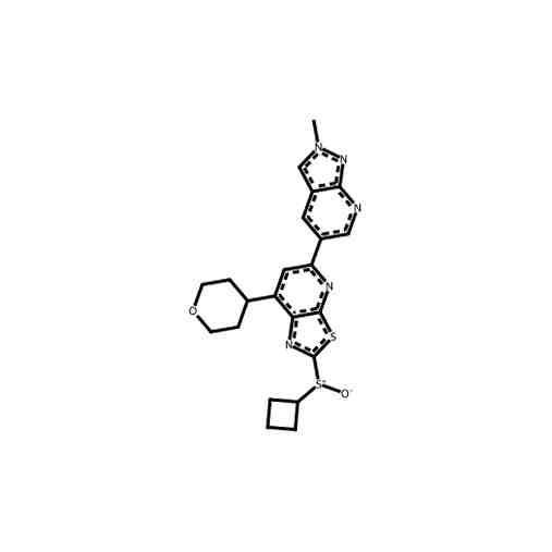 Cn1cc2cc(-c3cc(C4CCOCC4)c4nc([S+]([O-])C5CCC5)sc4n3)cnc2n1